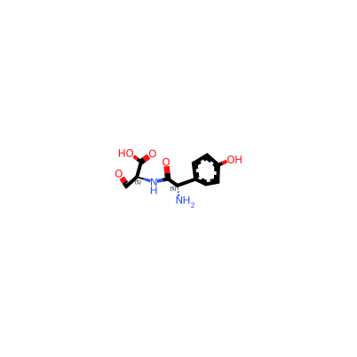 N[C@H](C(=O)N[C@@H](C=O)C(=O)O)c1ccc(O)cc1